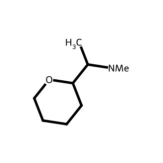 CNC(C)C1CCCCO1